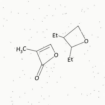 CC1=COC1=O.CCC1COC1CC